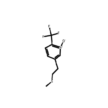 CSCCc1ccc(C(F)(F)F)[n+]([O-])c1